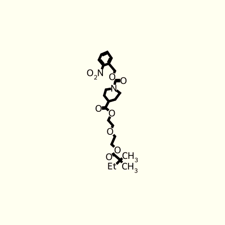 CCC(C)(C)C(=O)OCCOCCOC(=O)C1CCN(C(=O)OCc2ccccc2[N+](=O)[O-])CC1